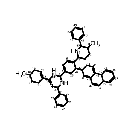 CC1CCC(C2=CC=C(C3NC(C4=CC[C@H](C)CC4)=NC(c4ccccc4)N3)CC2C2C=C3C=CC4C=CC=CC4C3=CC2)NC1c1ccccc1